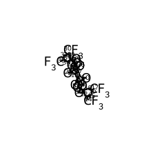 O=C1C2C(C(=O)N1OS(=O)(=O)c1cc(C(F)(F)F)cc(C(F)(F)F)c1)C1C(=O)N(OS(=O)(=O)c3cc(C(F)(F)F)cc(C(F)(F)F)c3)C(=O)C21